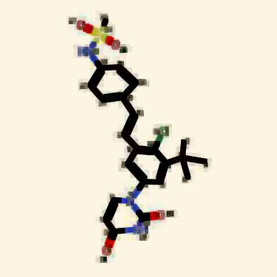 CC(C)(C)c1cc(-n2ccc(=O)[nH]c2=O)cc(C=Cc2ccc(NS(C)(=O)=O)cc2)c1Cl